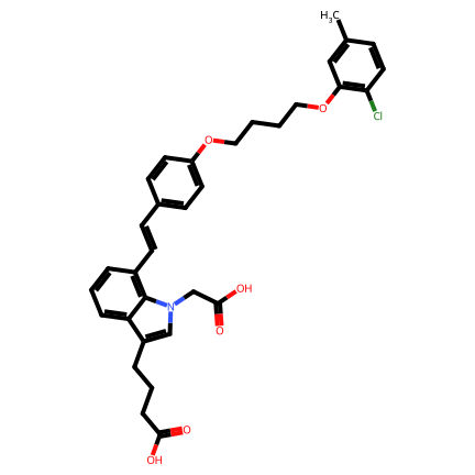 Cc1ccc(Cl)c(OCCCCOc2ccc(C=Cc3cccc4c(CCCC(=O)O)cn(CC(=O)O)c34)cc2)c1